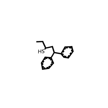 CCC(S)CC(c1ccccc1)c1ccccc1